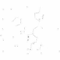 CC1(C)CCC(C)(C)c2cc(CCc3nccs3)c(C=Cc3ccc(C(=O)O)cc3)cc21